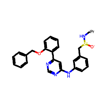 CC(C)N[S+]([O-])Cc1cccc(Nc2cc(-c3ccccc3OCc3ccccc3)ncn2)c1